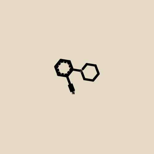 N#Cc1[c]cccc1N1CCCCC1